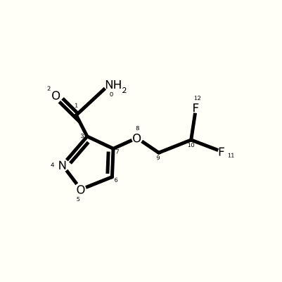 NC(=O)c1nocc1OCC(F)F